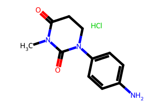 CN1C(=O)CCN(c2ccc(N)cc2)C1=O.Cl